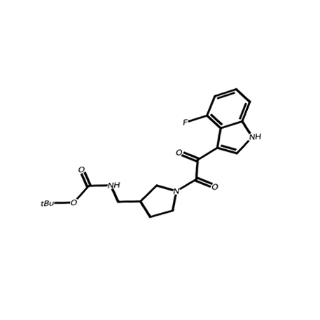 CC(C)(C)OC(=O)NCC1CCN(C(=O)C(=O)c2c[nH]c3cccc(F)c23)C1